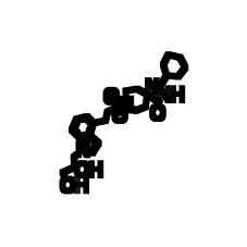 O=C1NC(C2CCCCC2)=NC12CCN(S(=O)(=O)CCc1cccc3c1ccn3CC(O)CO)CC2